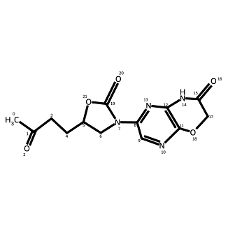 CC(=O)CCC1CN(c2cnc3c(n2)NC(=O)CO3)C(=O)O1